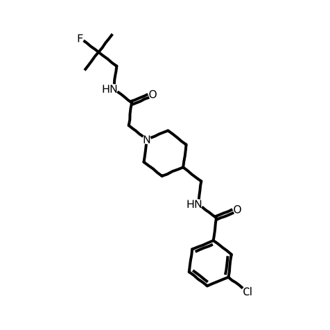 CC(C)(F)CNC(=O)CN1CCC(CNC(=O)c2cccc(Cl)c2)CC1